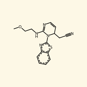 COCCNC1=NC=CC(CC#N)N1c1nc2ccccc2s1